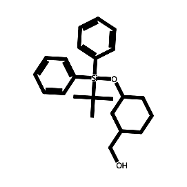 CC(C)(C)[Si](OC1CCCC(CO)C1)(c1ccccc1)c1ccccc1